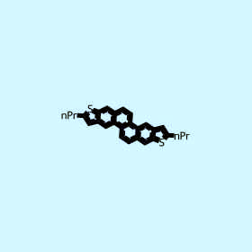 CCCc1cc2cc3c(ccc4c5cc6cc(CCC)sc6cc5ccc34)cc2s1